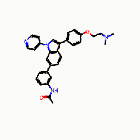 CC(=O)Nc1cccc(-c2ccc3c(-c4ccc(OCCN(C)C)cc4)cn(-c4ccncc4)c3c2)c1